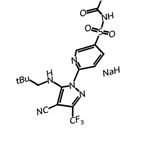 CCC(=O)NS(=O)(=O)c1ccc(-n2nc(C(F)(F)F)c(C#N)c2NCC(C)(C)C)nc1.[NaH]